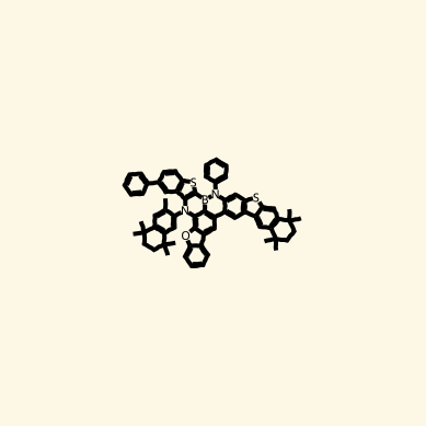 Cc1cc2c(cc1N1c3c(sc4ccc(-c5ccccc5)cc34)B3c4c(cc5c(oc6ccccc65)c41)-c1cc4c(cc1N3c1ccccc1)sc1cc3c(cc14)C(C)(C)CCC3(C)C)C(C)(C)CCC2(C)C